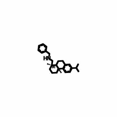 CC(C)c1ccc2c(c1)CCC1[C@](C)(CNCc3ccccc3)CCC[C@]21C